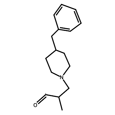 CC([C]=O)CN1CCC(Cc2ccccc2)CC1